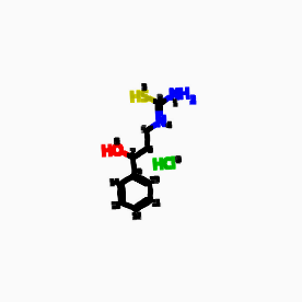 Cl.NC(S)=NCCC(O)c1ccccc1